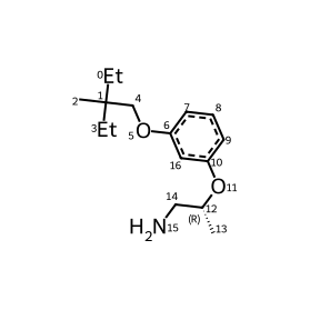 CCC(C)(CC)COc1cccc(O[C@H](C)CN)c1